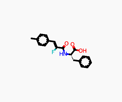 Cc1ccc(/C=C(\F)C(=O)N[C@@H](Cc2ccccc2)C(=O)O)cc1